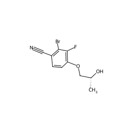 C[C@@H](O)COc1ccc(C#N)c(Br)c1F